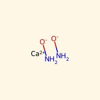 N[O-].N[O-].[Ca+2]